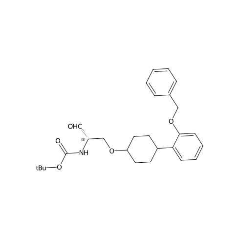 CC(C)(C)OC(=O)N[C@H](C=O)COC1CCC(c2ccccc2OCc2ccccc2)CC1